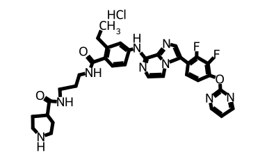 CCc1cc(Nc2nccn3c(-c4ccc(Oc5ncccn5)c(F)c4F)cnc23)ccc1C(=O)NCCCNC(=O)C1CCNCC1.Cl